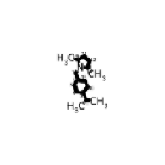 CC(C)c1ccc(CN2C(C)C=CC2C)cc1